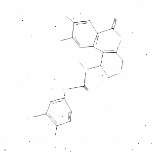 CN(C(=O)Nc1ccc(F)c(C#N)c1)C1CNCc2[nH]c(=O)c3cc(F)c(F)cc3c21